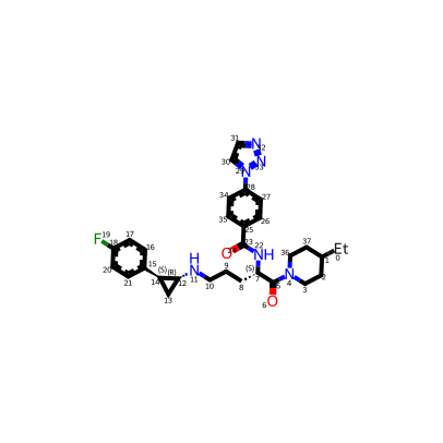 CCC1CCN(C(=O)[C@H](CCCN[C@@H]2C[C@H]2c2ccc(F)cc2)NC(=O)c2ccc(-n3ccnn3)cc2)CC1